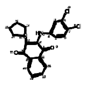 O=C1C(Nc2ccc(Cl)c(Cl)c2)=C(N2CCCC2)C(=O)c2ccccc21